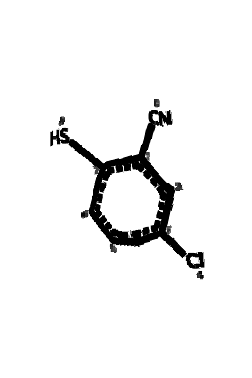 N#Cc1cc(Cl)ccc1S